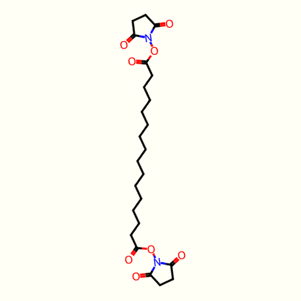 O=C(CCCCCCCCCCCCCCC(=O)ON1C(=O)CCC1=O)ON1C(=O)CCC1=O